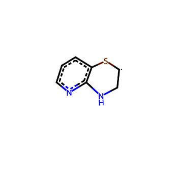 [CH]1CNc2ncccc2S1